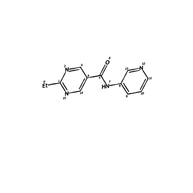 CCc1ncc(C(=O)Nc2cccnc2)cn1